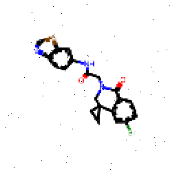 O=C(CN1CC2(CC2)c2cc(Br)ccc2C1=O)Nc1ccc2ncsc2c1